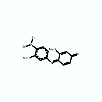 CCN(CC)c1ccc(/N=C2/C=CC(=O)C=C2OC)cc1OC